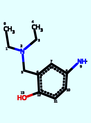 CCN(CC)Cc1cc([NH])ccc1O